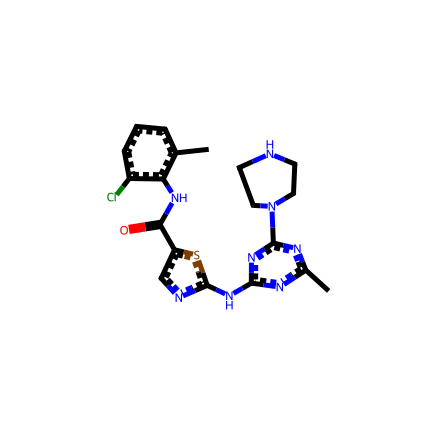 Cc1nc(Nc2ncc(C(=O)Nc3c(C)cccc3Cl)s2)nc(N2CCNCC2)n1